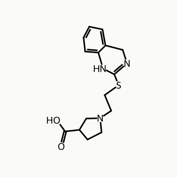 O=C(O)C1CCN(CCSC2=NCc3ccccc3N2)C1